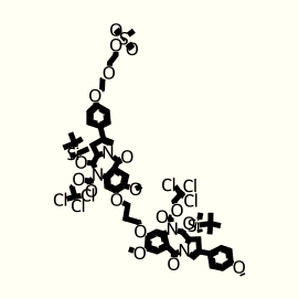 COc1ccc(C2=CN3C(=O)c4cc(OC)c(OCCCOc5cc6c(cc5OC)C(=O)N5C=C(c7ccc(OCCOCCOS(C)(=O)=O)cc7)CC5C(O[Si](C)(C)C(C)(C)C)N6C(=O)OCC(Cl)(Cl)Cl)cc4N(C(=O)OCC(Cl)(Cl)Cl)C(O[Si](C)(C)C(C)(C)C)C3C2)cc1